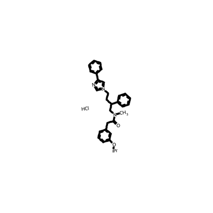 CC(C)Oc1cccc(CC(=O)N(C)CC(CCn2cnc(-c3ccccc3)c2)c2ccccc2)c1.Cl